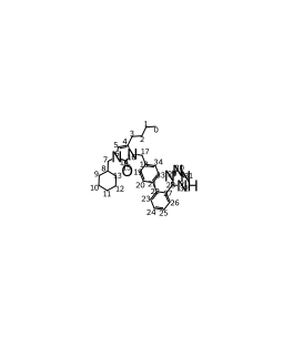 CCCCc1cn(CC2CCCCC2)c(=O)n1Cc1ccc(-c2ccccc2-c2nnn[nH]2)cc1